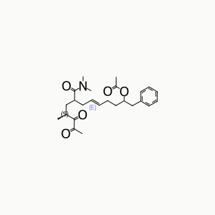 CC(=O)OC(CC/C=C/CC(C[C@H](C)C(=O)C(C)=O)C(=O)N(C)C)Cc1ccccc1